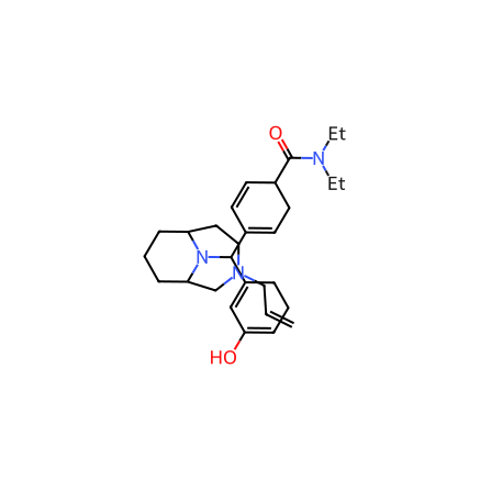 C=CCN1CCC2CCCC(C1)N2C(C1=CCC(C(=O)N(CC)CC)C=C1)C1=CC(O)=CCC1